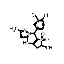 Cc1cc2n(n1)C(c1ccc(Cl)c(Cl)c1)C1=C(CC(C)S1(=O)=O)N2